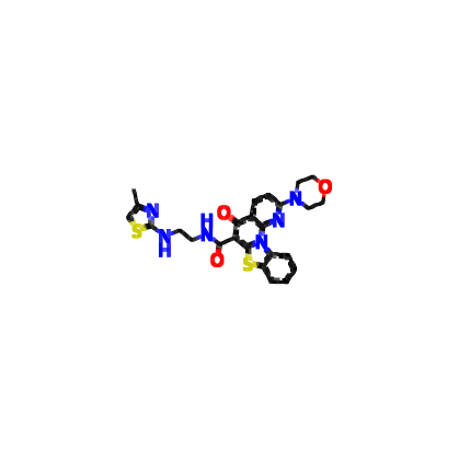 Cc1csc(NCCNC(=O)c2c(=O)c3ccc(N4CCOCC4)nc3n3c2sc2ccccc23)n1